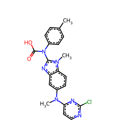 Cc1ccc(N(C(=O)O)c2nc3cc(N(C)c4ccnc(Cl)n4)ccc3n2C)cc1